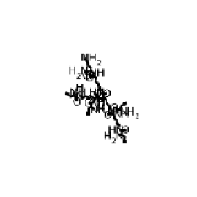 C#CCC(N)C(=O)NCCCCC(NC(=O)C(N)CC#C)C(=O)NCCCCC(NC(=O)C(CCCCNC(=O)C(N)CC#C)NC(=O)C(N)CC#C)C(=O)NCCCCCC(=O)NC(CCCCN)C(N)=O